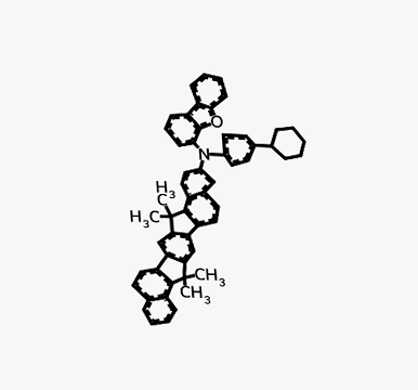 CC1(C)c2cc3c(cc2-c2ccc4ccccc4c21)C(C)(C)c1c-3ccc2cc(N(c3ccc(C4CCCCC4)cc3)c3cccc4c3oc3ccccc34)ccc12